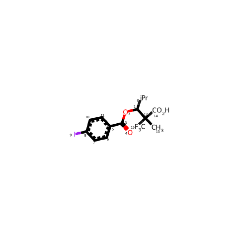 CC(C)C(OC(=O)c1ccc(I)cc1)C(C)(C(=O)O)C(F)(F)F